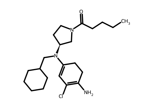 CCCCC(=O)N1CC[C@H](N(CC2CCCCC2)C2=CC(Cl)=C(N)CC2)C1